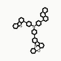 c1ccc2c(c1)Oc1cccc3c4cc(-c5ccc(N(c6ccc(-c7cccc8c7ccc7ccccc78)cc6)c6ccc(-c7cccc8c7sc7ccccc78)cc6)cc5)ccc4n-2c13